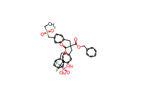 CCS(=O)(=O)Cc1ccc(CC(Cc2ccc(C(F)(F)P(=O)(O)O)cc2)(C(=O)OCc2ccccc2)C(=O)OCc2ccccc2)cc1